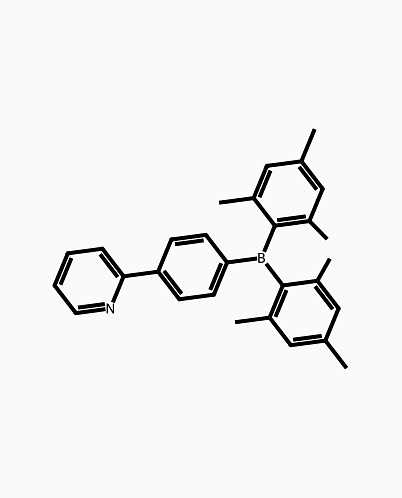 Cc1cc(C)c(B(c2ccc(-c3ccccn3)cc2)c2c(C)cc(C)cc2C)c(C)c1